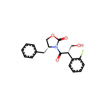 O=C1OC[C@@H](Cc2ccccc2)N1C(=O)[C@H](CO)c1ccccc1F